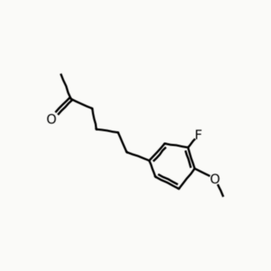 COc1ccc(CCCCC(C)=O)cc1F